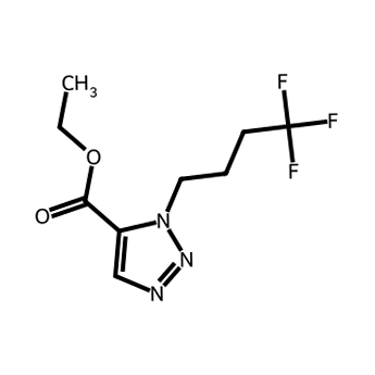 CCOC(=O)c1cnnn1CCCC(F)(F)F